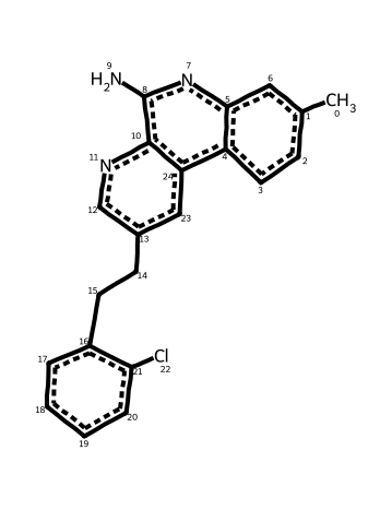 Cc1ccc2c(c1)nc(N)c1ncc(CCc3ccccc3Cl)cc12